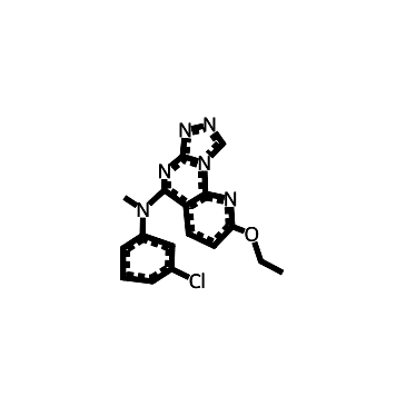 CCOc1ccc2c(N(C)c3cccc(Cl)c3)nc3nncn3c2n1